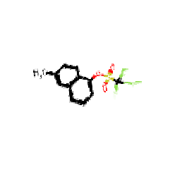 Cc1ccc2c(c1)CCC=C2OS(=O)(=O)C(F)(F)F